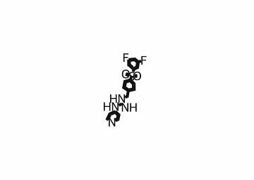 N=C(NCc1ccc(S(=O)(=O)c2cc(F)cc(F)c2)cc1)Nc1ccncc1